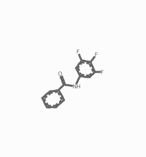 O=C(Nc1cc(F)c(F)c(F)c1)c1ccccc1